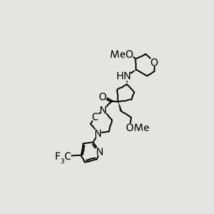 COCC[C@]1(C(=O)N2CCN(c3cc(C(F)(F)F)ccn3)CC2)CC[C@@H](N[C@@H]2CCOCC2OC)C1